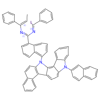 C/C=C(/N=C(\N=C(/I)c1ccccc1)c1cccc2c(-n3c4ccc5ccccc5c4c4ccc5c(c6ccccc6n5-c5ccc6ccccc6c5)c43)cccc12)c1ccccc1